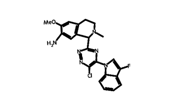 COc1cc2c(cc1N)C(c1nnc(Cl)c(-n3cc(F)c4ccccc43)n1)N(C)CC2